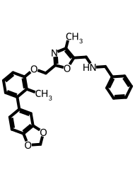 Cc1nc(COc2cccc(-c3ccc4c(c3)OCO4)c2C)oc1CNCc1ccccc1